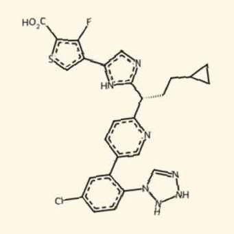 O=C(O)c1scc(-c2cnc([C@H](CCC3CC3)c3ccc(-c4cc(Cl)ccc4N4C=NNN4)cn3)[nH]2)c1F